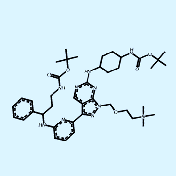 CC(C)(C)OC(=O)NCCC(Nc1cccc(-c2nn(COCC[Si](C)(C)C)c3nc(NC4CCC(NC(=O)OC(C)(C)C)CC4)ncc23)n1)c1ccccc1